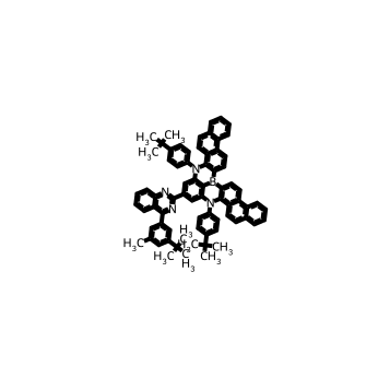 Cc1cc(-c2nc(-c3cc4c5c(c3)N(c3ccc(C(C)(C)C)cc3)c3c(ccc6c3ccc3ccccc36)B5c3ccc5c(ccc6ccccc65)c3N4c3ccc(C(C)(C)C)cc3)nc3ccccc23)cc(C(C)(C)C)c1